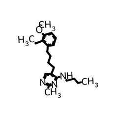 CCCCNc1nc(C)ncc1CCCCc1cccc(OC)c1CC